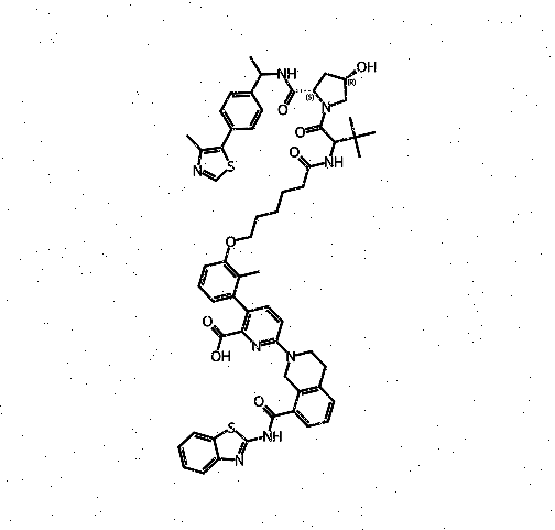 Cc1ncsc1-c1ccc(C(C)NC(=O)[C@@H]2C[C@@H](O)CN2C(=O)C(NC(=O)CCCCCOc2cccc(-c3ccc(N4CCc5cccc(C(=O)Nc6nc7ccccc7s6)c5C4)nc3C(=O)O)c2C)C(C)(C)C)cc1